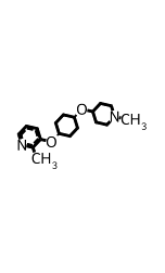 Cc1ncccc1O[C@H]1CC[C@H](OC2CCN(C)CC2)CC1